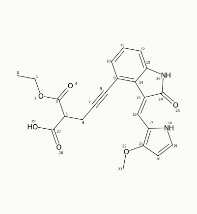 CCOC(=O)C(CC#Cc1cccc2c1C(=Cc1[nH]ccc1OC)C(=O)N2)C(=O)O